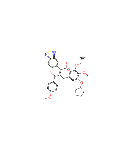 COc1ccc(C(=O)C(Cc2cc(OC)c(OC)c(OC3CCCC3)c2)=C(C(=O)[O-])c2ccc3nsnc3c2)cc1.[Na+]